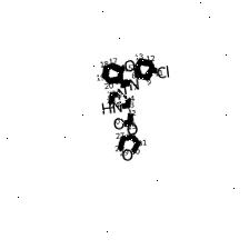 O=C(C[C@H]1CN(C2=Nc3cc(Cl)ccc3Oc3ccccc32)CCN1)OC1CCOCC1